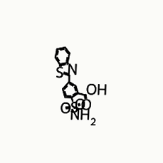 NS(=O)(=O)c1ccc(-c2nc3ccccc3s2)cc1C(=O)O